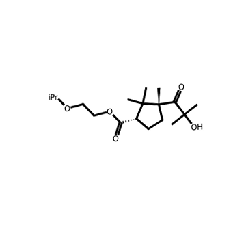 CC(C)OCCOC(=O)[C@H]1CC[C@@](C)(C(=O)C(C)(C)O)C1(C)C